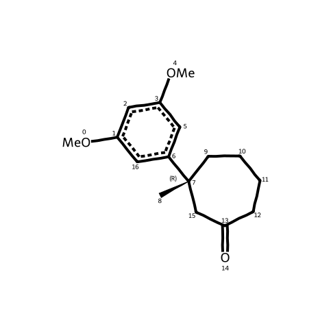 COc1cc(OC)cc([C@]2(C)CCCCC(=O)C2)c1